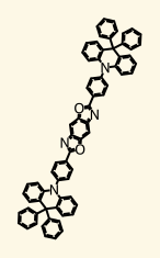 c1ccc(C2(c3ccccc3)c3ccccc3N(c3ccc(-c4nc5cc6oc(-c7ccc(N8c9ccccc9C(c9ccccc9)(c9ccccc9)c9ccccc98)cc7)nc6cc5o4)cc3)c3ccccc32)cc1